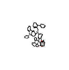 c1ccc(-c2ccccc2CN(c2ccc3c(c2)C2(c4ccccc4-3)c3ccccc3-c3cccc4ccc(-c5ccccc5)c2c34)c2ccc3c(c2)c2ccccc2n3-c2ccccc2)cc1